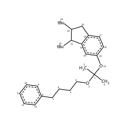 CC(C)(OCCCCc1ccccc1)Oc1ccc2c(c1)C(C(C)(C)C)C(C(C)(C)C)C2